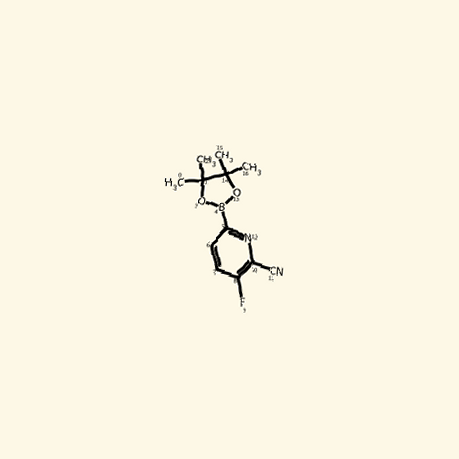 CC1(C)OB(c2ccc(F)c(C#N)n2)OC1(C)C